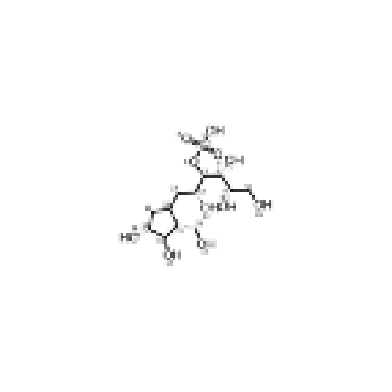 O=S(=O)(O)O[C@@H]([C@H](O)[C@@H](O)CO)[C@H](O)CC1C[C@@H](O)[C@H](O)[C@H]1CO